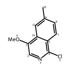 COc1cnc(Cl)c2ccc(C)cc12